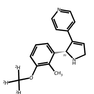 [2H]C([2H])([2H])Oc1cccc([C@H]2NCC=C2c2ccncc2)c1C